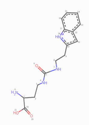 NC(CCNC(=O)NCCc1cc2ccccc2[nH]1)C(=O)O